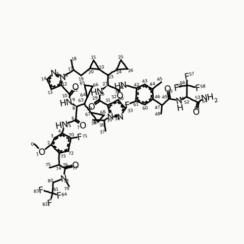 COc1cc(NC(=O)[C@@H](NC(=O)c2ccnn2C(C)CC2CC2C(C2CC2)[C@H](NC(=O)c2ccnn2C(C)C)C(=O)Nc2cc(C)c(C(C)C(=O)NC(C(N)=O)C(F)(F)F)cc2F)C(C2CC2)C2CC2)c(F)cc1C(C)C(=O)N(C)CC(F)(F)F